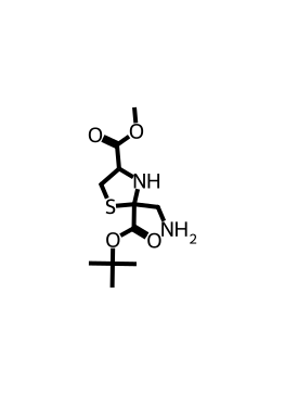 COC(=O)C1CSC(CN)(C(=O)OC(C)(C)C)N1